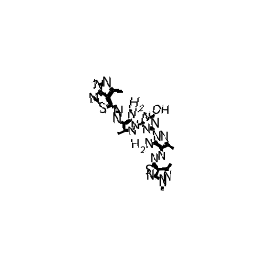 Cc1nn(-c2nc(O)nc(-n3nc(C)c(N=Nc4snc5c4c(C)nn5C)c3N)n2)c(N)c1N=Nc1snc2c1c(C)nn2C